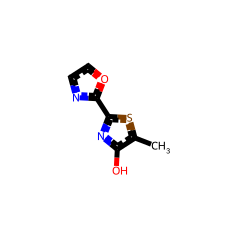 Cc1sc(-c2ncco2)nc1O